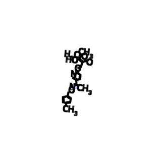 C/C(=N\OCc1ccc(C)cc1)c1ccc(OCC2=C(O)C(C)(C)OC2=O)nc1